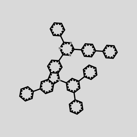 c1ccc(-c2ccc(-c3nc(-c4ccccc4)nc(-c4ccc5c6cc(-c7ccccc7)ccc6n(-c6cc(-c7ccccc7)cc(-c7ccccc7)c6)c5c4)n3)cc2)cc1